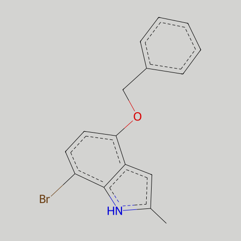 Cc1cc2c(OCc3ccccc3)ccc(Br)c2[nH]1